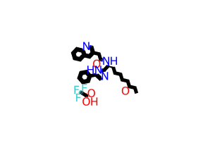 CCC(=O)CCCCC[C@H](NC(=O)Cc1cnc2ccccc2c1)c1ncc(-c2ccccc2)[nH]1.O=C(O)C(F)(F)F